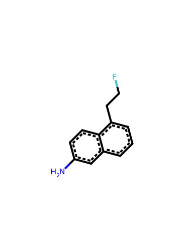 Nc1ccc2c(CCF)cccc2c1